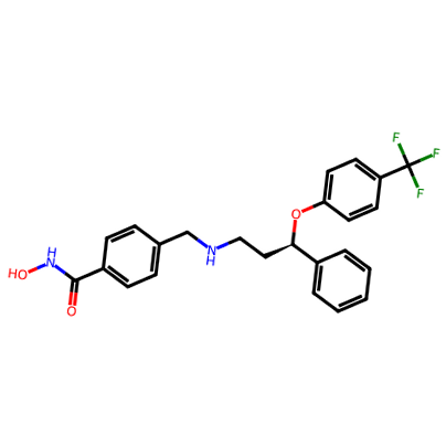 O=C(NO)c1ccc(CNCC[C@@H](Oc2ccc(C(F)(F)F)cc2)c2ccccc2)cc1